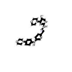 Fc1cnc(N/N=C/c2ccc(Nc3ccc(N4CCOCC4)cc3)cn2)nc1N1CCOCC1